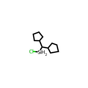 Cl[SiH2]C(C1CCCC1)C1CCCC1